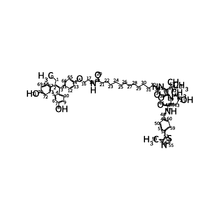 CCC(=C(c1ccc(O)cc1)c1ccc(OCCNC(=O)CCCCCCCCCCCCC(=O)N[C@H](C(=O)N2C[C@H](O)C[C@H]2C(=O)NCc2ccc(-c3scnc3C)cc2)C(C)(C)C)cc1)c1ccc(O)cc1